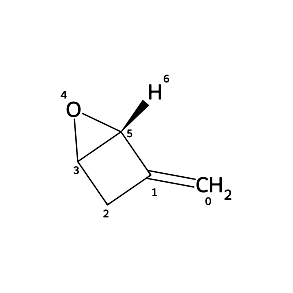 C=C1CC2O[C@H]12